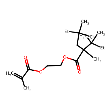 C=C(C)C(=O)OCCOC(=O)C(C)(CC(C)(C)CC)C(C)(C)CC